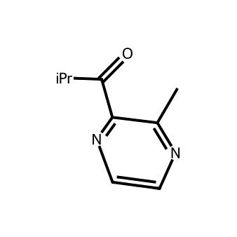 Cc1nccnc1C(=O)C(C)C